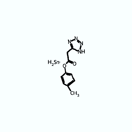 Cc1ccc(OC(=O)Cc2nnn[nH]2)cc1.[SnH2]